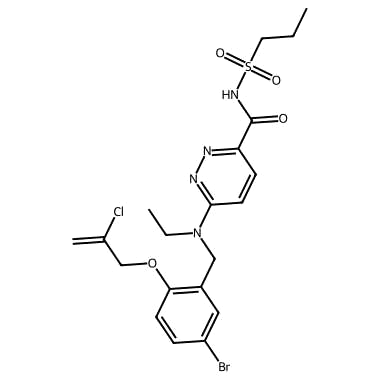 C=C(Cl)COc1ccc(Br)cc1CN(CC)c1ccc(C(=O)NS(=O)(=O)CCC)nn1